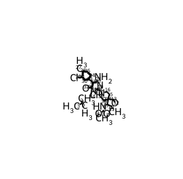 CC(C)C.COC(=O)N[C@@H]1[C@H](C)OCC12CCN(c1nc(N)c(-c3ccc(C)c(Cl)c3)c(=O)n1C)CC2